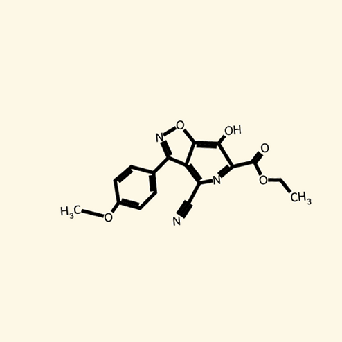 CCOC(=O)c1nc(C#N)c2c(-c3ccc(OC)cc3)noc2c1O